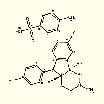 CN1CC[C@@H]2[C@@H](c3ccc(F)cc3)c3ccc(F)cc3[C@H]2C1.Cc1ccc(S(=O)(=O)O)cc1